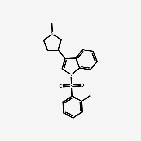 CN1CCC(c2cn(S(=O)(=O)c3ccccc3I)c3ccccc23)C1